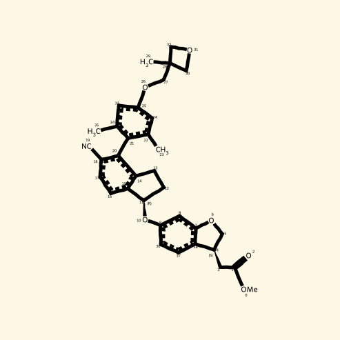 COC(=O)C[C@@H]1COc2cc(O[C@@H]3CCc4c3ccc(C#N)c4-c3c(C)cc(OCC4(C)COC4)cc3C)ccc21